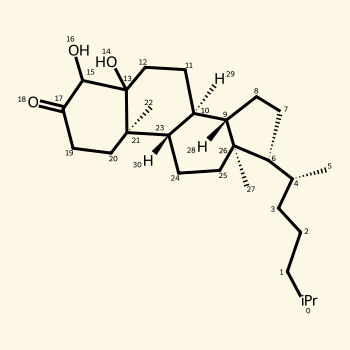 CC(C)CCC[C@@H](C)[C@H]1CC[C@H]2[C@@H]3CCC4(O)C(O)C(=O)CC[C@]4(C)[C@H]3CC[C@]12C